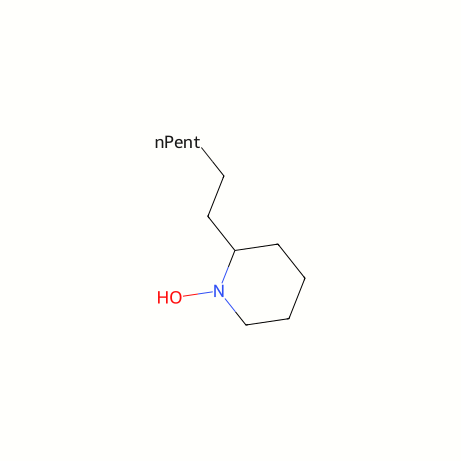 CCCCCCCC1CCCCN1O